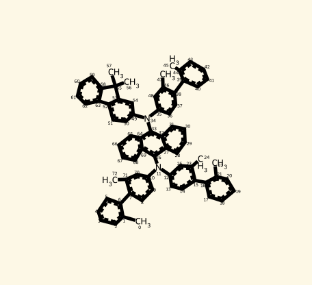 Cc1ccccc1-c1ccc(N(c2ccc(-c3ccccc3C)c(C)c2)c2c3ccccc3c(N(c3ccc(-c4ccccc4C)c(C)c3)c3ccc4c(c3)C(C)(C)c3ccccc3-4)c3ccccc23)cc1C